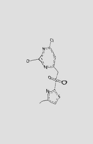 Cc1csc(S(=O)(=O)Cc2cc(Cl)nc(Cl)n2)n1